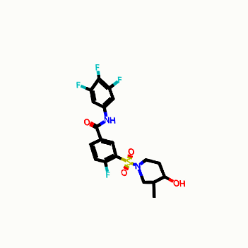 CC1CN(S(=O)(=O)c2cc(C(=O)Nc3cc(F)c(F)c(F)c3)ccc2F)CCC1O